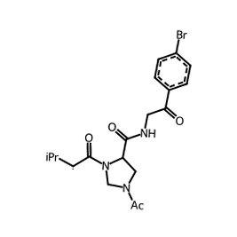 CC(=O)N1CC(C(=O)NCC(=O)c2ccc(Br)cc2)N(C(=O)[CH]C(C)C)C1